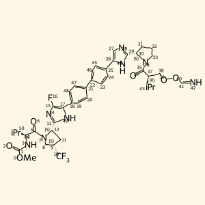 COC(=O)N[C@H](C(=O)N1C[C@@H](C(F)(F)F)C[C@H]1c1nc(F)c(-c2ccc(-c3ccc(-c4cnc([C@@H]5CCCN5C(=O)[C@@H](COOC=N)C(C)C)[nH]4)cc3)cc2)[nH]1)C(C)C